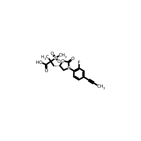 CC#Cc1ccc(N2C[C@H](CC(C)(C(=O)O)S(C)(=O)=O)OC2=O)c(F)c1